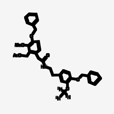 [2H]C([2H])([2H])Oc1cc(CCNC(=O)Cc2ccc(OCc3ccccc3)c(OC)c2COC(C)=O)ccc1OCc1ccccc1